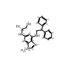 CC[C@H](CO)Nc1nc(NCC(c2ccccc2)c2ccccc2)c2ncn(C)c2n1